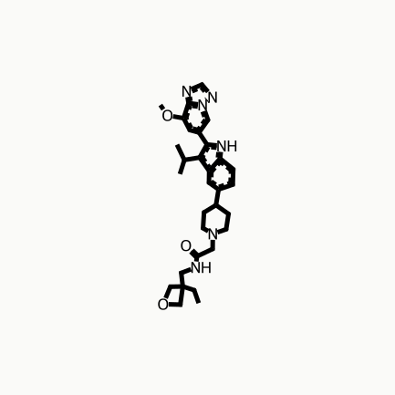 CCC1(CNC(=O)CN2CCC(c3ccc4[nH]c(-c5cc(OC)c6ncnn6c5)c(C(C)C)c4c3)CC2)COC1